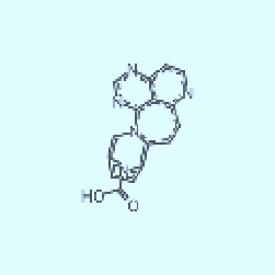 O=C(O)n1c2ccc1=c1ccc3nccc4ncnc(c34)n1C=2